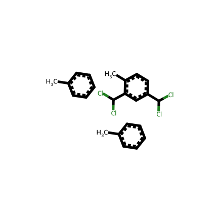 Cc1ccc(C(Cl)Cl)cc1C(Cl)Cl.Cc1ccccc1.Cc1ccccc1